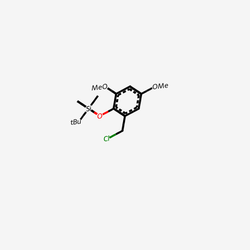 COc1cc(CCl)c(O[Si](C)(C)C(C)(C)C)c(OC)c1